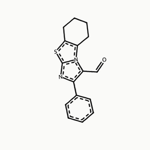 O=Cc1c(-c2ccccc2)nc2sc3c(n12)CCCC3